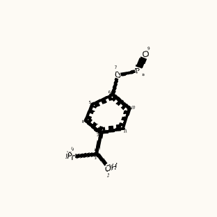 CC(C)C(O)c1ccc(OP=O)cc1